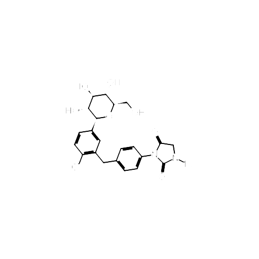 CCN1CC(=O)N(c2ccc(Cc3cc([C@@H]4O[C@H](CO)[C@@H](O)[C@H](O)[C@H]4O)ccc3Cl)cc2)C1=O